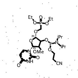 CCOP(=O)(CO[C@H]1O[C@@H](n2ccc(=O)[nH]c2=O)C(OC)C1OP(OCCC#N)N(C(C)C)C(C)C)OCC